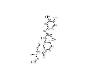 C[C@H](CO)n1ccc2c(NC(=O)Cc3ccc(Cl)c(Cl)c3)c(Cl)ccc2c1=O